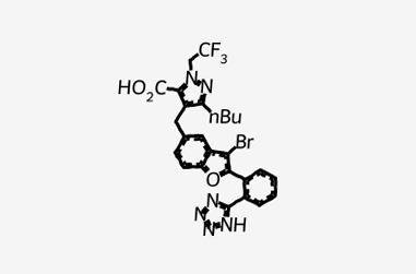 CCCCc1nn(CC(F)(F)F)c(C(=O)O)c1Cc1ccc2oc(-c3ccccc3-c3nnn[nH]3)c(Br)c2c1